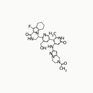 CC(=O)N1CCn2nc(Nc3cc(=O)[nH]c(C)c3-c3cnc(C4CNC(=O)c5c(F)c6c(n54)CCCC6)c(CO)c3)cc2C1